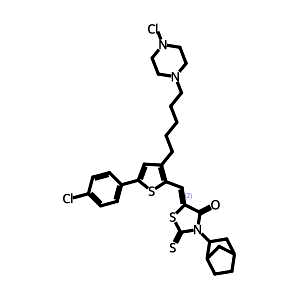 O=C1/C(=C/c2sc(-c3ccc(Cl)cc3)cc2CCCCCN2CCN(Cl)CC2)SC(=S)N1C1CC2CCC1C2